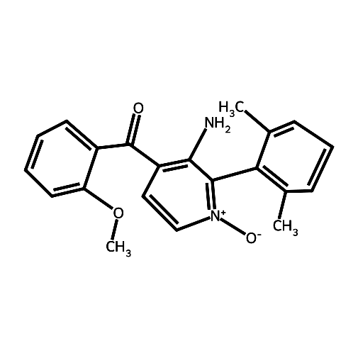 COc1ccccc1C(=O)c1cc[n+]([O-])c(-c2c(C)cccc2C)c1N